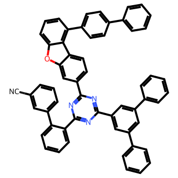 N#Cc1cccc(-c2ccccc2-c2nc(-c3cc(-c4ccccc4)cc(-c4ccccc4)c3)nc(-c3ccc4c(c3)oc3cccc(-c5ccc(-c6ccccc6)cc5)c34)n2)c1